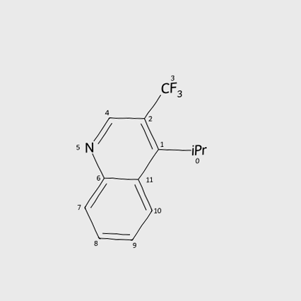 CC(C)c1c(C(F)(F)F)cnc2ccccc12